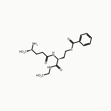 N[C@@H](CCC(=O)N[C@@H](CCSC(=O)c1ccccc1)C(=O)NCC(=O)O)C(=O)O